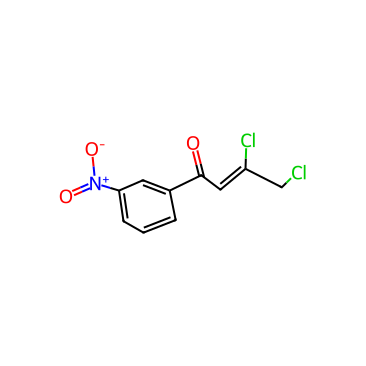 O=C(C=C(Cl)CCl)c1cccc([N+](=O)[O-])c1